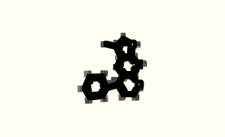 Cc1coc2nc3c(cc12)C(c1ccccc1)=CCO3